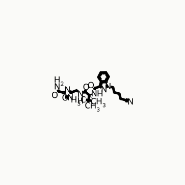 CC(C)(C)[C@H](NC(=O)c1nn(CCCCC#N)c2ccccc12)C(=O)NCc1noc(C(N)=O)n1